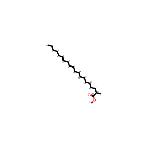 CCCCCC=CCC=CCCCCCCCCC(C)C(=O)OC